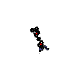 C=C/C=C\C(=C/C)P(=Nc1ccc(-c2ccc(-c3ccc(N=P(c4ccccc4)(c4ccccc4)c4ccccc4)cc3)cc2)cc1)(C(=C)/C=C\C=C/C)c1ccccc1